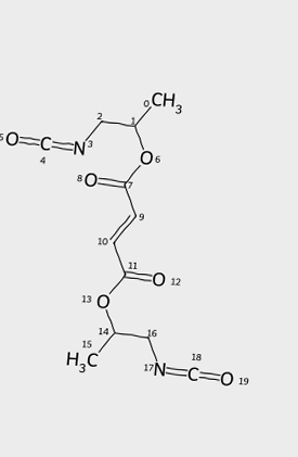 CC(CN=C=O)OC(=O)C=CC(=O)OC(C)CN=C=O